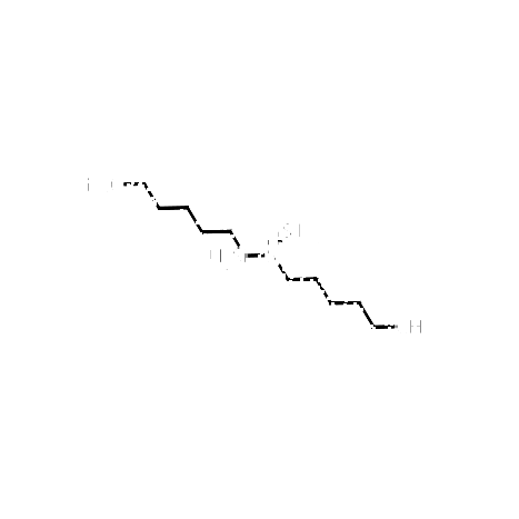 CCCCCC[SiH2][SiH]([SiH3])CCCCCC